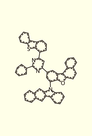 c1ccc(-c2nc(-c3cc(-n4c5ccccc5c5cc6ccccc6cc54)c4oc5ccc6ccccc6c5c4c3)cc(-c3cccc4c3sc3ccccc34)n2)cc1